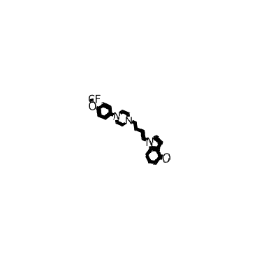 O=C1CCCc2c1ccn2CCCCN1CCN(c2ccc(OC(F)(F)F)cc2)CC1